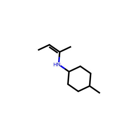 C/C=C(/C)NC1CCC(C)CC1